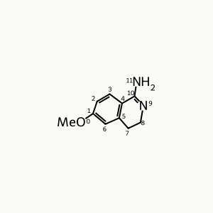 COc1ccc2c(c1)CCN=C2N